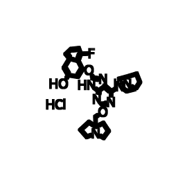 Cl.Oc1cc(Oc2nc3c(N4CC5CCC(C4)N5)nc(OCC45CCCN4CCC5)nc3[nH]2)c2c(F)cccc2c1